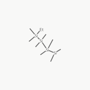 [CH2]C[Si](C)(C)[Si](C)(C)[Si](C)(C)[Si](C)C